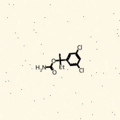 CCC(C)(OC(N)=O)c1cc(Cl)cc(Cl)c1